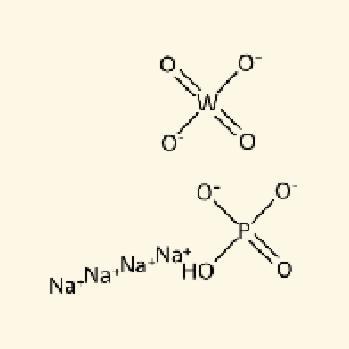 O=P([O-])([O-])O.[Na+].[Na+].[Na+].[Na+].[O]=[W](=[O])([O-])[O-]